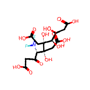 O=C(O)CC(=O)[C@H](N(F)F)[C@](O)(CC(=O)O)[C@@](O)(CC(=O)O)[C@H](O)C(O)CC(=O)O